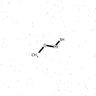 C.COPS